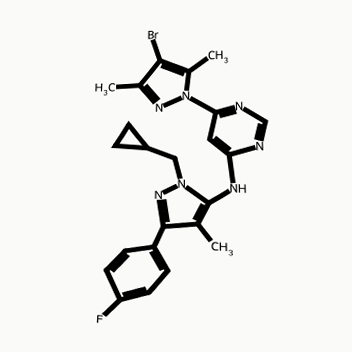 Cc1nn(-c2cc(Nc3c(C)c(-c4ccc(F)cc4)nn3CC3CC3)ncn2)c(C)c1Br